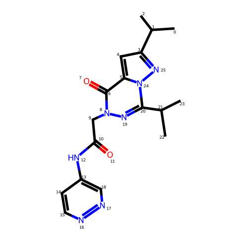 CC(C)c1cc2c(=O)n(CC(=O)Nc3ccnnc3)nc(C(C)C)n2n1